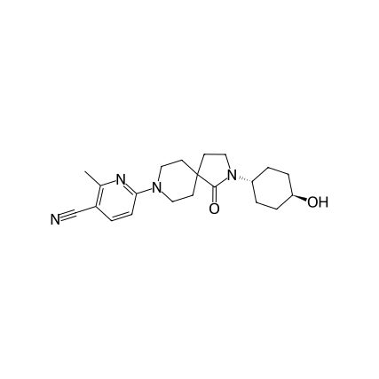 Cc1nc(N2CCC3(CC2)CCN([C@H]2CC[C@H](O)CC2)C3=O)ccc1C#N